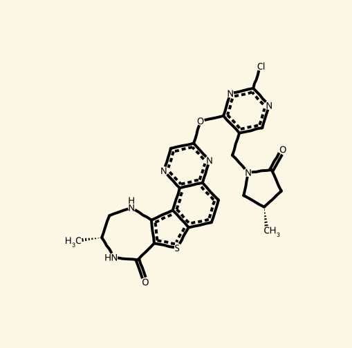 C[C@H]1CC(=O)N(Cc2cnc(Cl)nc2Oc2cnc3c(ccc4sc5c(c43)NC[C@@H](C)NC5=O)n2)C1